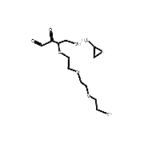 CC1CO1.O=CC(=O)C(CO)OCCOCCOCCO